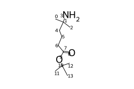 CC(C)(N)CCCC(=O)OC(C)(C)C